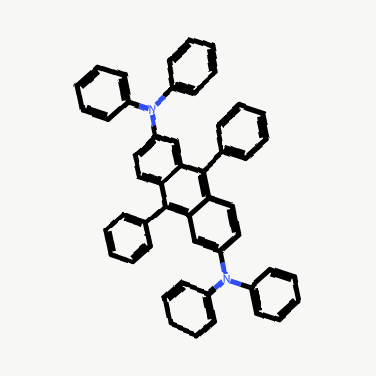 C1=CC(N(c2ccccc2)c2ccc3c(-c4ccccc4)c4cc(N(c5ccccc5)c5ccccc5)ccc4c(-c4ccccc4)c3c2)=CCC1